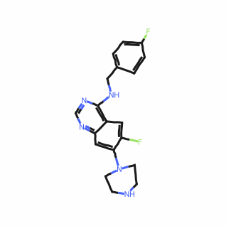 Fc1ccc(CNc2ncnc3cc(N4CCNCC4)c(F)cc23)cc1